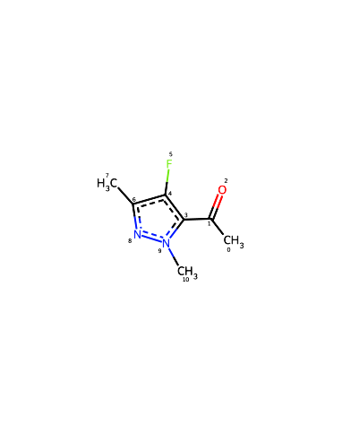 CC(=O)c1c(F)c(C)nn1C